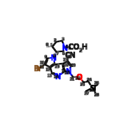 C[C@@H]1CCN(C(=O)O)C[C@@H]1n1cc(Br)c2cnc3c(c(C#N)cn3COCC[Si](C)(C)C)c21